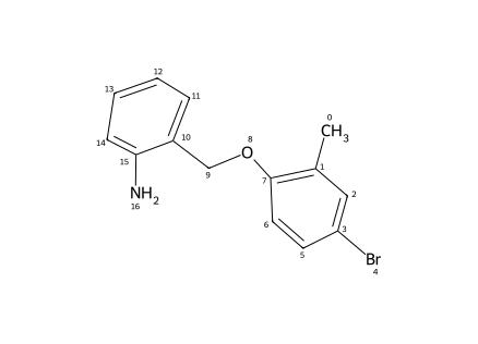 Cc1cc(Br)ccc1OCc1ccccc1N